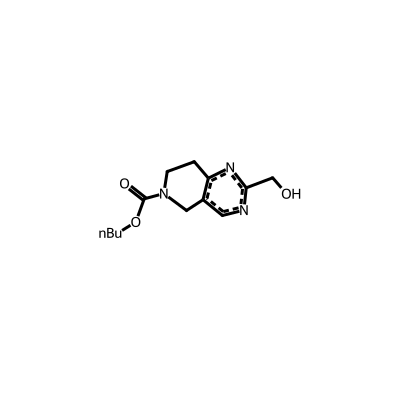 CCCCOC(=O)N1CCc2nc(CO)ncc2C1